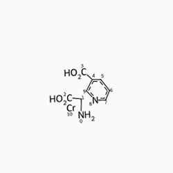 NCC(=O)O.O=C(O)c1cccnc1.[Cr]